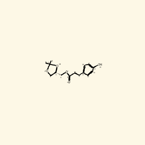 CC1(C)OC[C@@H](COC(=O)CCc2ccc(O)cc2)O1